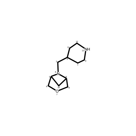 C1CC(CN2C3COCC2C3)CCN1